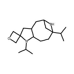 CC(C)N1C2CCC3(C(C)C)BC(CC2CC12COC2)C3